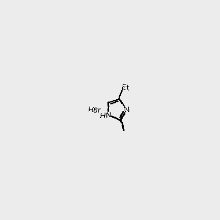 Br.CCc1c[nH]c(C)n1